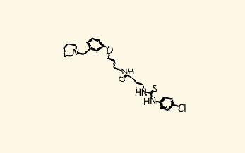 O=C(CCCNC(=S)Nc1ccc(Cl)cc1)NCCCOc1cccc(CN2CCCCC2)c1